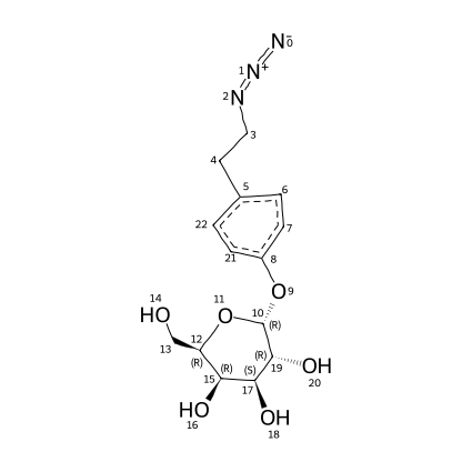 [N-]=[N+]=NCCc1ccc(O[C@H]2O[C@H](CO)[C@H](O)[C@H](O)[C@H]2O)cc1